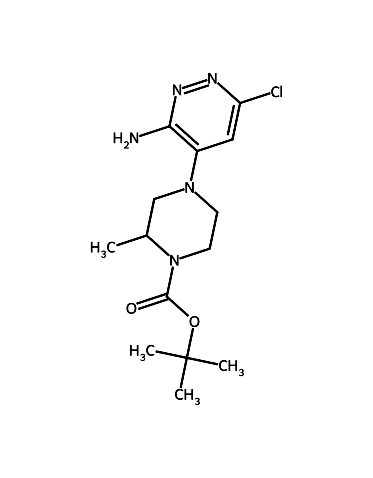 CC1CN(c2cc(Cl)nnc2N)CCN1C(=O)OC(C)(C)C